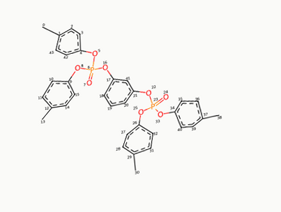 Cc1ccc(OP(=O)(Oc2ccc(C)cc2)Oc2cccc(OP(=O)(Oc3ccc(C)cc3)Oc3ccc(C)cc3)c2)cc1